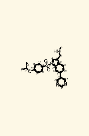 CNCc1cn(S(=O)(=O)c2ccc(OC(F)F)cc2)c2cc(-c3cncnc3)ccc12